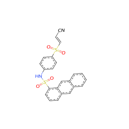 N#CC=CS(=O)(=O)c1ccc(NS(=O)(=O)c2cccc3cc4ccccc4cc23)cc1